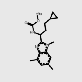 Cc1cc(C)c2nc(C(CCC3CC3)NC(=O)OC(C)(C)C)n(C)c2c1